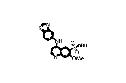 CCCCS(=O)(=O)c1cc2c(Nc3ccc4scnc4c3)ccnc2cc1OC